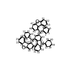 c1ccc(N(c2cc(N(c3ccccc3)c3cccc4oc5ccccc5c34)c3c4ccccc4n(-c4ccccc4)c3c2)c2cccc3oc4ccccc4c23)cc1